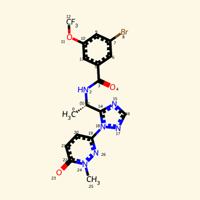 C[C@H](NC(=O)c1cc(Br)cc(OC(F)(F)F)c1)c1ncnn1-c1ccc(=O)n(C)n1